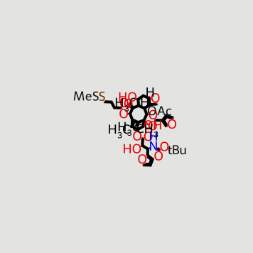 CSSCCCC(=O)O[C@H]1C(=O)[C@@]2(C)[C@H]([C@H](OC(=O)c3ccoc3)[C@]3(O)C[C@H](OC(=O)[C@H](O)[C@@H](NC(=O)OC(C)(C)C)c4ccco4)C(C)=C1C3(C)C)[C@]1(OC(C)=O)CO[C@@H]1C[C@@H]2O